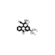 CN(C)c1ccc2c(c1)OC(N)=C(C#N)C2c1ccccc1C(=O)O